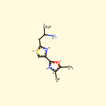 Cc1oc(-c2csc(CC(N)C(=O)O)n2)nc1C#N